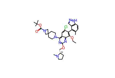 CCOc1c(-c2c(C)ccc3[nH]ncc23)c(Cl)cc2c(N3CCC4(CC3)CN(C(=O)OC(C)(C)C)C4)nc(OC[C@@H]3CCCN3C)nc12